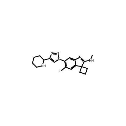 CNC1=Nc2cc(-n3cc(C4CCCCN4)nn3)c(Cl)cc2C12CCC2